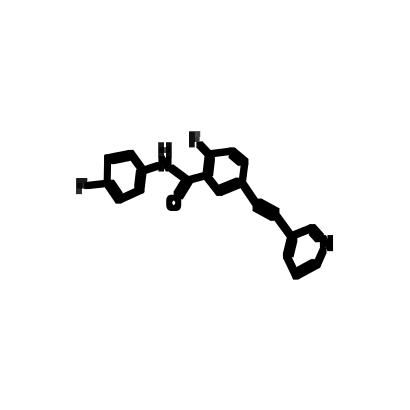 O=C(Nc1ccc(F)cc1)c1cc(C#Cc2cccnc2)ccc1F